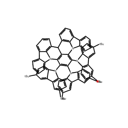 CC(C)(C)c1ccc2c(c1)c1cc(C(C)(C)C)ccc1n2-c1c(-n2c3ccc(C(C)(C)C)cc3c3cc(C(C)(C)C)ccc32)c2c3c(c1-n1c4ccc(C(C)(C)C)cc4c4cc(C(C)(C)C)ccc41)-n1c4ccccc4c4cccc(c41)C3c1cccc3c4ccccc4n-2c13